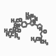 COc1cc(-c2cc(C3CCN(C(=O)CCN(C)C)C3)n3ncnc(N)c23)ccc1NC(=O)OC(C)(C)C